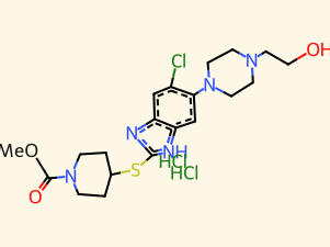 COC(=O)N1CCC(Sc2nc3cc(Cl)c(N4CCN(CCO)CC4)cc3[nH]2)CC1.Cl.Cl